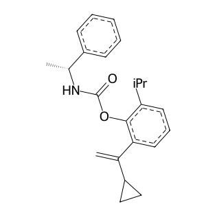 C=C(c1cccc(C(C)C)c1OC(=O)N[C@H](C)c1ccccc1)C1CC1